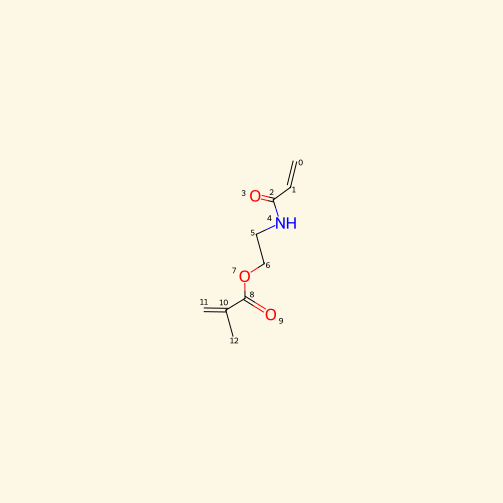 C=CC(=O)NCCOC(=O)C(=C)C